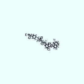 CCNC(=O)c1ccc(/C=C/C(=O)NCC(=O)N(C)c2ccc(Cl)c(COc3cccc4ncc(C)nc34)c2Cl)cc1